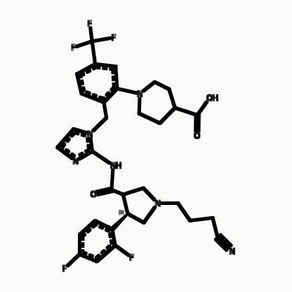 N#CCCCN1CC(C(=O)Nc2nccn2Cc2ccc(C(F)(F)F)cc2N2CCC(C(=O)O)CC2)[C@H](c2ccc(F)cc2F)C1